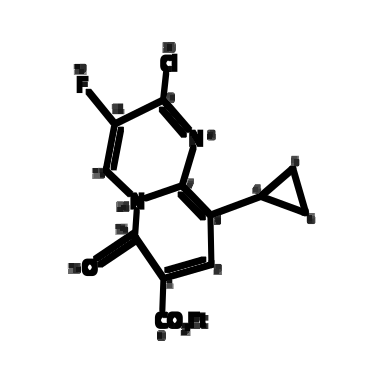 CCOC(=O)c1cc(C2CC2)c2nc(Cl)c(F)cn2c1=O